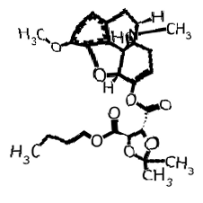 CCCCOC(=O)[C@@H]1OC(C)(C)O[C@H]1C(=O)OC1=CC[C@@]2(O)[C@H]3Cc4ccc(OC)c5c4[C@@]2(CCN3C)[C@H]1O5